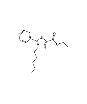 CCCCCc1nc(C(=O)OCC)sc1-c1ccccc1